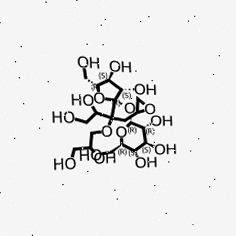 OCC(O)COC(CC1CO1)(C(O)CO)[C@@]1(O[C@H]2O[C@H](CO)[C@@H](O)[C@H](O)[C@H]2O)O[C@H](CO)[C@@H](O)[C@@H]1O